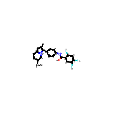 COc1ccc2cc(C)c(-c3ccc(NC(=O)c4cc(F)c(F)cc4F)cc3)n2c1